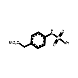 CCCS(=O)(=O)Nc1ccc(CC(=O)OCC)cc1